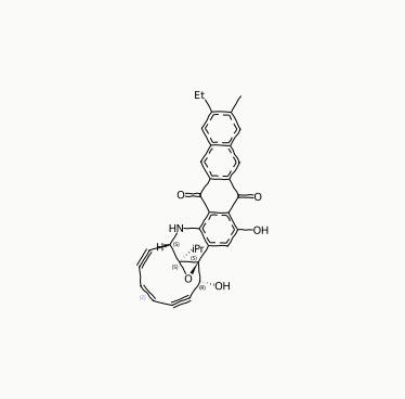 CCc1cc2cc3c(cc2cc1C)C(=O)c1c(O)cc2c(c1C3=O)N[C@H]1C#C/C=C\C#C[C@@H](O)[C@@]23O[C@@]13C(C)C